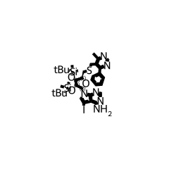 Cc1ncnc(-c2ccccc2)c1CSC[C@H]1O[C@@H](n2cc(I)c3c(N)ncnc32)[C@H](O[Si](C)(C)C(C)(C)C)[C@@H]1O[Si](C)(C)C(C)(C)C